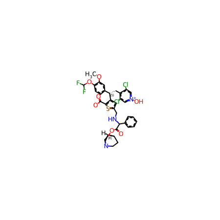 COc1cc([C@H](Cc2c(Cl)c[n+](O)cc2Cl)c2cc(CNC(C(=O)O[C@H]3CN4CCC3CC4)c3ccccc3)sc2C(=O)[O-])ccc1OC(F)F